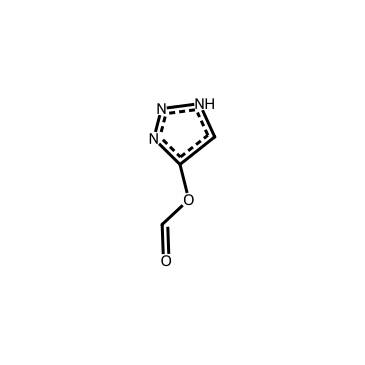 O=COc1c[nH]nn1